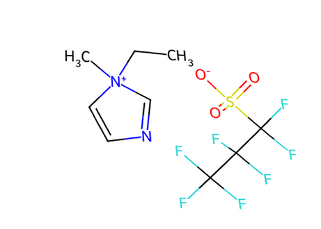 CC[N+]1(C)C=CN=C1.O=S(=O)([O-])C(F)(F)C(F)(F)C(F)(F)F